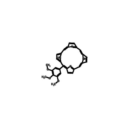 COc1cc(-c2c3nc(cc4ccc(cc5nc(cc6ccc2[nH]6)C=C5)[nH]4)C=C3)cc(OC)c1OC